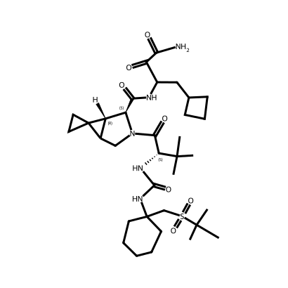 CC(C)(C)[C@H](NC(=O)NC1(CS(=O)(=O)C(C)(C)C)CCCCC1)C(=O)N1CC2[C@@H]([C@H]1C(=O)NC(CC1CCC1)C(=O)C(N)=O)C21CC1